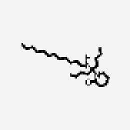 CCCCCCCCCCCCNC(CCCC)(CCCC)N1CCCCC1=O